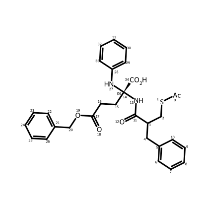 CC(=O)SCC(Cc1ccccc1)C(=O)N[C@](CCC(=O)OCc1ccccc1)(Nc1ccccc1)C(=O)O